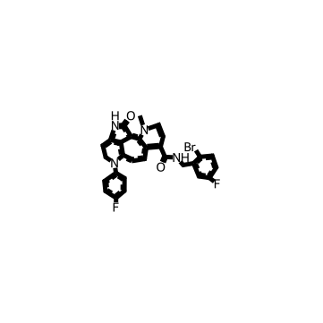 CN1C=CC(C(=O)NCc2cc(F)ccc2Br)=c2ccc3c4c([nH]c(=O)c-4c21)=CCN3c1ccc(F)cc1